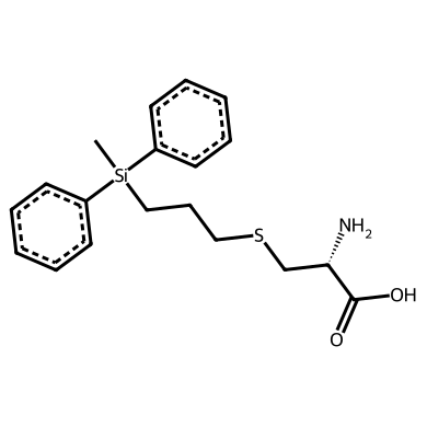 C[Si](CCCSC[C@H](N)C(=O)O)(c1ccccc1)c1ccccc1